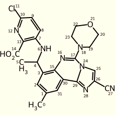 Cc1cc(C(C)Nc2ccc(Cl)nc2C(=O)O)c2nc(N3CCOCC3)n3cc(C#N)nc3c2c1